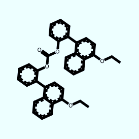 CCOc1ccc(-c2ccccc2OC(=O)Oc2ccccc2-c2ccc(OCC)c3ccccc23)c2ccccc12